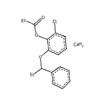 CCC(=O)Oc1c(Cl)cccc1OC(CC)c1ccccc1.[CaH2]